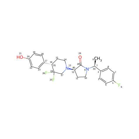 C[C@@H](c1ccc(F)cc1)N1CC[C@@H](N2CC[C@@H](c3ccc(O)cc3)C(F)(F)C2)C1=O